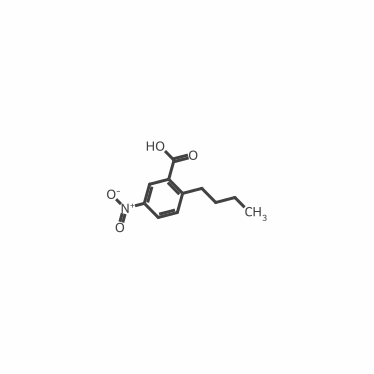 CCCCc1ccc([N+](=O)[O-])cc1C(=O)O